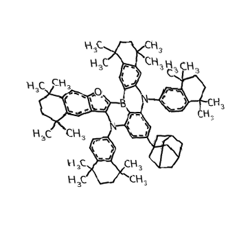 CC1(C)CCC(C)(C)c2cc(N3c4cc5c(cc4B4c6oc7cc8c(cc7c6N(c6ccc7c(c6)C(C)(C)CCC7(C)C)c6cc(C79CC%10CC(CC(C%10)C7)C9)cc3c64)C(C)(C)CCC8(C)C)C(C)(C)CCC5(C)C)ccc21